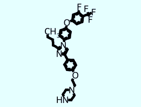 CCCCc1nc(-c2ccc(OCCN3CCNCC3)cc2)cn1-c1ccc(Oc2ccc(C(F)(F)F)c(F)c2)cc1